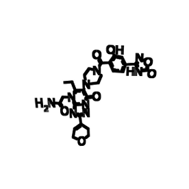 CCc1c(N2CCN(C(=O)c3ccc(-c4noc(=O)[nH]4)cc3O)CC2)c(=O)n2nc(C3=CCOCC3)nc2n1CC(N)=O